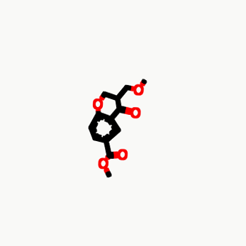 COCC1COc2ccc(C(=O)OC)cc2C1=O